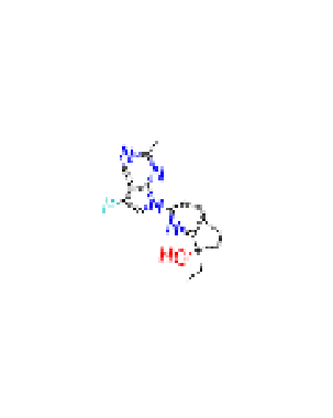 CCC1(O)CCc2ccc(-n3cc(F)c4cnc(C)nc43)nc21